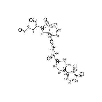 O=CCCC(C=O)N1Cc2c(OCCCC(=O)N3CCN(c4cccc(Cl)c4Cl)CC3)cccc2C1=O